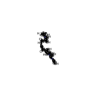 CCn1c(O)c(/N=N/c2cc(Nc3nc(Cl)nc(NCCN4CCN(c5nc(Cl)nc(Nc6ccc7c(O)c(/N=N/c8ccc(/N=N/c9ccc(S(=O)(=O)O)cc9)cc8S(=O)(=O)O)c(S(=O)(=O)O)cc7c6S(=O)(=O)O)n5)CC4)n3)c(S(=O)(=O)O)cc2S(=O)(=O)O)c(C)c(C(N)=O)c1=O